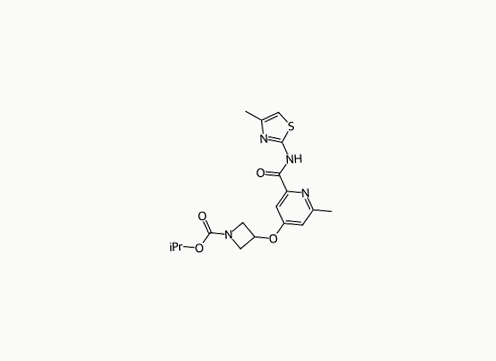 Cc1cc(OC2CN(C(=O)OC(C)C)C2)cc(C(=O)Nc2nc(C)cs2)n1